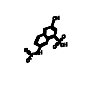 O=[N+]([O-])Nc1ccc2cc(O)cc(S(=O)(=O)O)c2c1